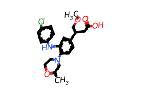 COCC(CC(=O)O)c1ccc(N2CCOC(C)C2)c(Nc2ccc(Cl)cc2)c1